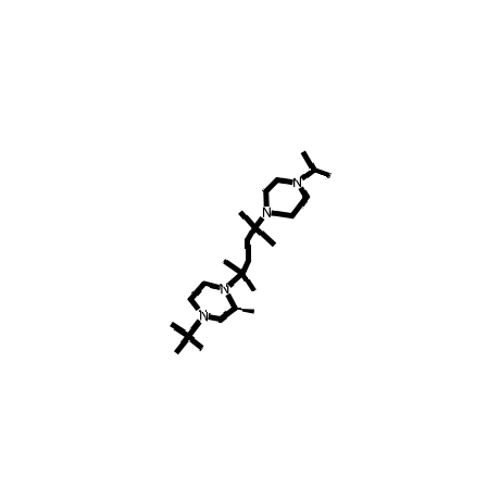 CC(C)N1CCN(C(C)(C)CCC(C)(C)N2CCN(C(C)(C)C)C[C@@H]2C)CC1